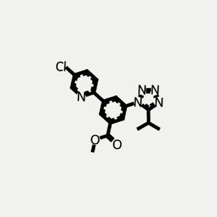 COC(=O)c1cc(-c2ccc(Cl)cn2)cc(-n2nnnc2C(C)C)c1